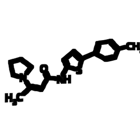 CC(=CC(=O)Nc1ccc(-c2ccc(C)cc2)s1)N1CCCC1